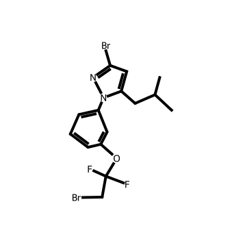 CC(C)Cc1cc(Br)nn1-c1cccc(OC(F)(F)CBr)c1